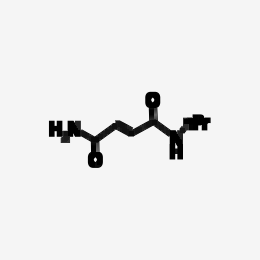 CCCNC(=O)C=CC(N)=O